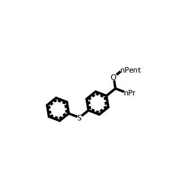 CCCCCOC(CCC)c1ccc(Sc2ccccc2)cc1